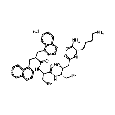 CC(C)C[C@H](NC(=O)C(Cc1cccc2ccccc12)Cc1cccc2ccccc12)C(=O)N[C@@H](CC(C)C)[C@@H](O)CC(=O)N[C@@H](CCCCN)C(N)=O.Cl